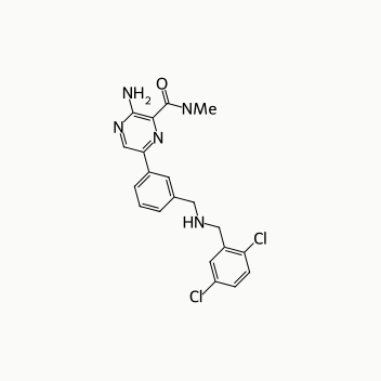 CNC(=O)c1nc(-c2cccc(CNCc3cc(Cl)ccc3Cl)c2)cnc1N